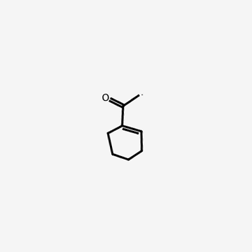 [CH2]C(=O)C1=CCCCC1